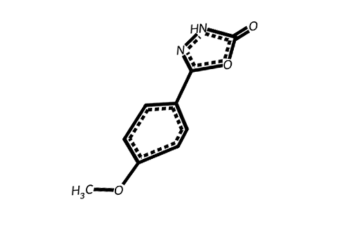 COc1ccc(-c2n[nH]c(=O)o2)cc1